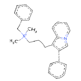 C[N+](C)(CCCc1c(-c2ccccc2)cn2ccccc12)Cc1ccccc1